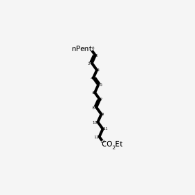 CCCCCC=CCC=CCC=CCCCCC(=O)OCC